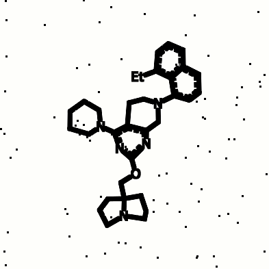 CCc1cccc2cccc(N3CCc4c(nc(OCC56CCCN5CCC6)nc4N4CCCCC4)C3)c12